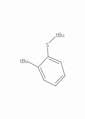 CC(C)(C)Sc1ccccc1C(C)(C)C